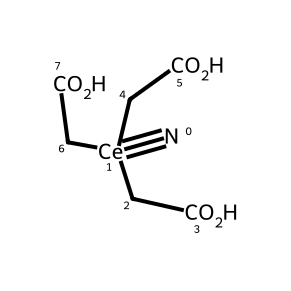 [N]#[Ce]([CH2]C(=O)O)([CH2]C(=O)O)[CH2]C(=O)O